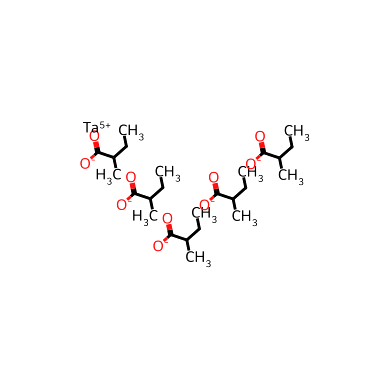 CCC(C)C(=O)[O-].CCC(C)C(=O)[O-].CCC(C)C(=O)[O-].CCC(C)C(=O)[O-].CCC(C)C(=O)[O-].[Ta+5]